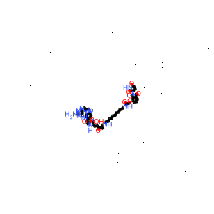 CC(CNCCCCCCCCCCCNC(=O)COc1cccc2c1C(=O)N(C1CCC(=O)NC1=O)C2=O)C(=O)CCC(NC(C)(C)C(=O)c1ccc(N(C)Cc2cnc3nc(N)nc(N)c3n2)cc1)C(=O)O